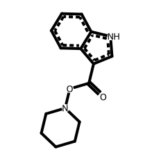 O=C(ON1CCCCC1)c1c[nH]c2ccccc12